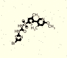 COc1cc(C)c(-c2sc(S(=O)(=O)NC(=O)Nc3ncc(Br)s3)cc2C)cn1